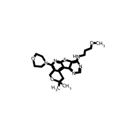 COCCCNc1ncnc2c1sc1nc(N3CCOCC3)c3c(c12)CC(C)(C)OC3